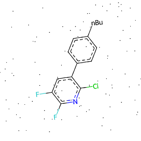 CCCCc1ccc(-c2cc(F)c(F)nc2Cl)cc1